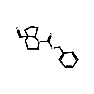 O=CC12CCCC1N(C(=O)OCc1ccccc1)CCC2